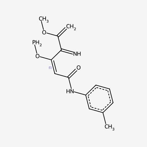 C=C(OC)C(=N)/C(=C\C(=O)Nc1cccc(C)c1)OP